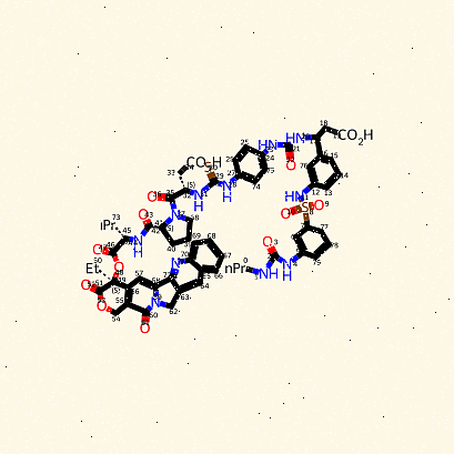 CCCNC(=O)NC1=CC(S(=O)(=O)Nc2cccc(C(CC(=O)O)NC(=O)Nc3ccc(NC(=S)N[C@@H](CC(=O)O)C(=O)N4CCC[C@H]4C(=O)N[C@H](C(=O)O[C@]4(CC)C(=O)OCc5c4cc4n(c5=O)Cc5cc6ccccc6nc5-4)C(C)C)cc3)c2)CC=C1